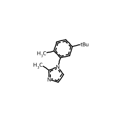 Cc1ccc(C(C)(C)C)cc1-n1ccnc1C